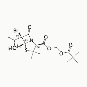 CC(O)[C@]1(Br)C(=O)N2[C@@H](C(=O)OCOC(=O)C(C)(C)C)C(C)(C)S[C@@H]21